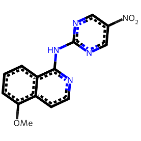 COc1cccc2c(Nc3ncc([N+](=O)[O-])cn3)nccc12